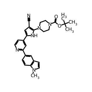 Cn1ccc2cc(-c3cc(-c4cc(C#N)c(N5CCN(C(=O)OC(C)(C)C)CC5)[nH]4)ccn3)ccc21